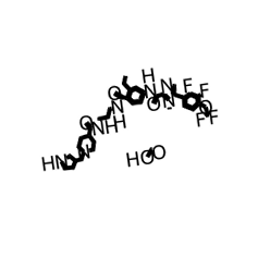 CCc1cc(NC(=O)c2ncc(-c3ccc(OC(F)F)c(F)c3F)n2C)ccc1C(=O)NCCCNC(=O)C1CCN(CC2CCNC2)CC1.O=CO